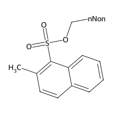 CCCCCCCCCCOS(=O)(=O)c1c(C)ccc2ccccc12